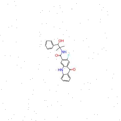 CC(C)(NC(=O)c1cc2[nH]c3ccccc3c(=O)c2cc1F)C(O)c1ccccc1